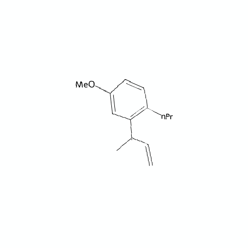 C=C[C](C)c1cc(OC)ccc1CCC